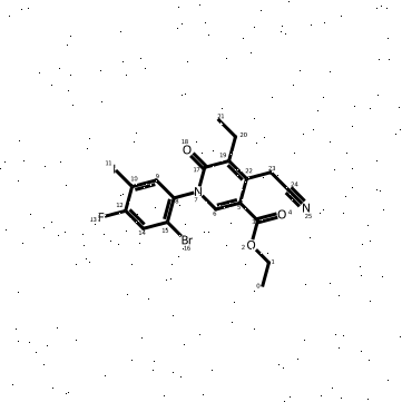 CCOC(=O)c1cn(-c2cc(I)c(F)cc2Br)c(=O)c(CC)c1CC#N